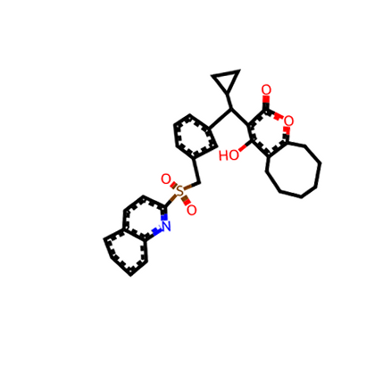 O=c1oc2c(c(O)c1C(c1cccc(CS(=O)(=O)c3ccc4ccccc4n3)c1)C1CC1)CCCCCC2